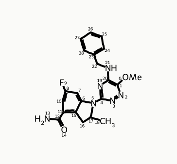 COc1nnc(N2c3cc(F)cc(C(N)=O)c3CC2C)nc1NCc1ccccc1